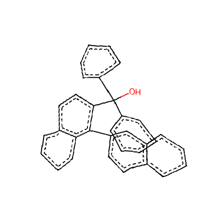 OC(c1ccccc1)(c1ccccc1)c1ccc2ccccc2c1-c1ccc2ccccc2c1